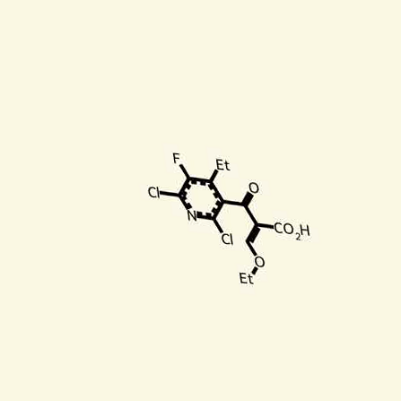 CCOC=C(C(=O)O)C(=O)c1c(Cl)nc(Cl)c(F)c1CC